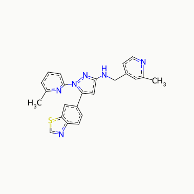 Cc1cc(CNc2cc(-c3ccc4ncsc4c3)n(-c3cccc(C)n3)n2)ccn1